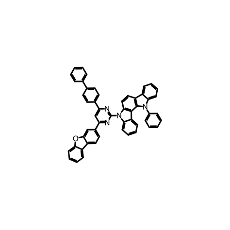 c1ccc(-c2ccc(-c3cc(-c4ccc5c(c4)oc4ccccc45)nc(-n4c5ccccc5c5c4ccc4c6ccccc6n(-c6ccccc6)c45)n3)cc2)cc1